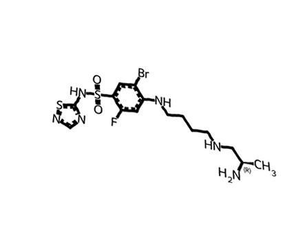 C[C@@H](N)CNCCCCNc1cc(F)c(S(=O)(=O)Nc2ncns2)cc1Br